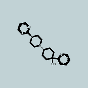 O[C@]1(c2ccccn2)CC[C@@H](N2CCN(c3ncccn3)CC2)CC1